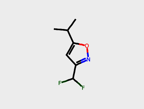 CC(C)c1cc(C(F)F)no1